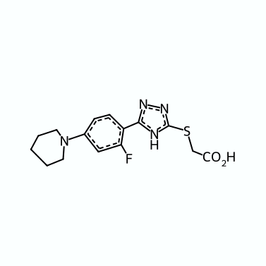 O=C(O)CSc1nnc(-c2ccc(N3CCCCC3)cc2F)[nH]1